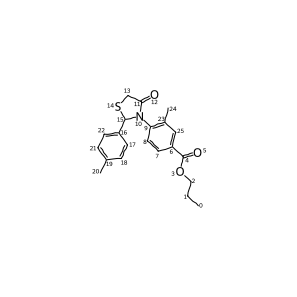 CCCOC(=O)c1ccc(N2C(=O)CSC2c2ccc(C)cc2)c(C)c1